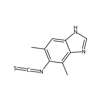 Cc1cc2[nH]cnc2c(C)c1N=C=S